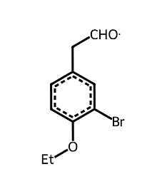 CCOc1ccc(C[C]=O)cc1Br